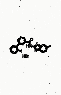 Br.Cc1ccc2nc(NC(=O)c3cccc(-c4ccccc4I)c3)sc2c1